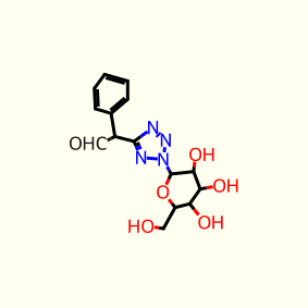 O=CC(c1ccccc1)c1nnn(C2OC(CO)C(O)C(O)C2O)n1